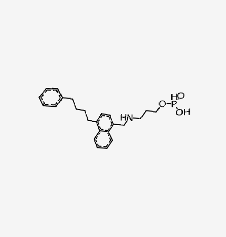 O=[PH](O)OCCCNCc1ccc(CCCCc2ccccc2)c2ccccc12